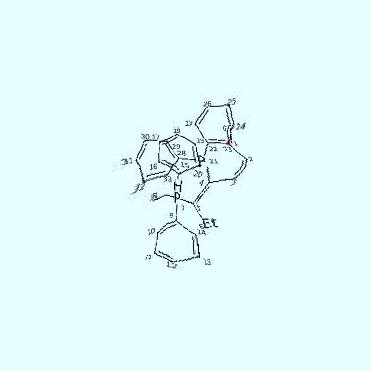 C=C/C=C\C(=C(/CC)[PH](C)(c1ccccc1)c1ccccc1)P(c1ccccc1)c1ccccc1